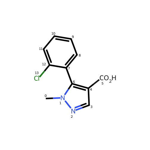 Cn1ncc(C(=O)O)c1-c1ccccc1Cl